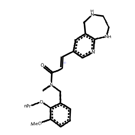 CCCOc1c(CN(C)C(=O)/C=C/c2cnc3c(c2)CNCCN3)cccc1OC